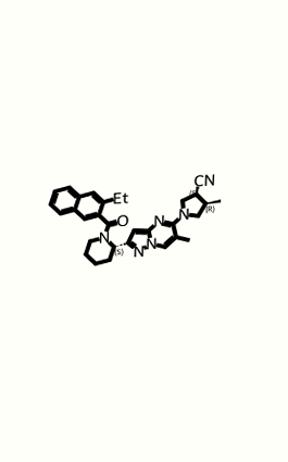 CCc1cc2ccccc2cc1C(=O)N1CCCC[C@H]1c1cc2nc(N3C[C@@H](C#N)[C@@H](C)C3)c(C)cn2n1